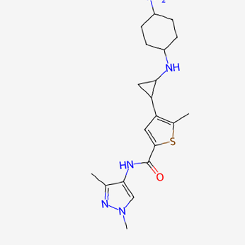 Cc1nn(C)cc1NC(=O)c1cc(C2CC2NC2CCC(N)CC2)c(C)s1